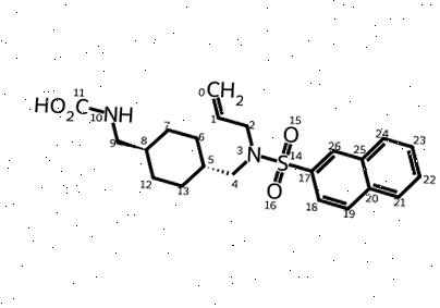 C=CCN(C[C@H]1CC[C@H](CNC(=O)O)CC1)S(=O)(=O)c1ccc2ccccc2c1